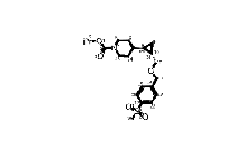 CC(C)OC(=O)N1CCC([C@H]2C[C@@H]2COCc2ccc(S(C)(=O)=O)cc2)CC1